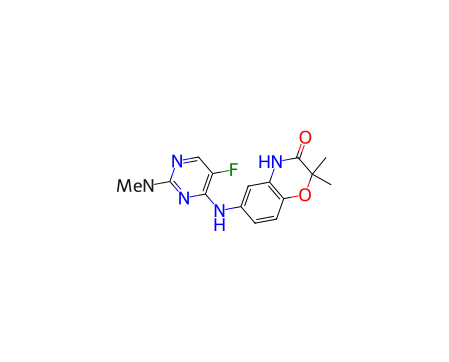 CNc1ncc(F)c(Nc2ccc3c(c2)NC(=O)C(C)(C)O3)n1